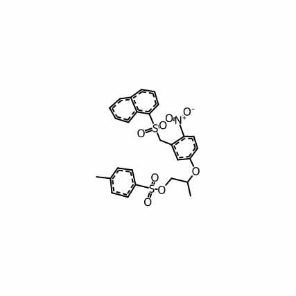 Cc1ccc(S(=O)(=O)OCC(C)Oc2ccc([N+](=O)[O-])c(CS(=O)(=O)c3cccc4ccccc34)c2)cc1